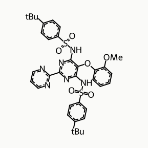 COc1ccccc1Oc1c(NS(=O)(=O)c2ccc(C(C)(C)C)cc2)nc(-c2ncccn2)nc1NS(=O)(=O)c1ccc(C(C)(C)C)cc1